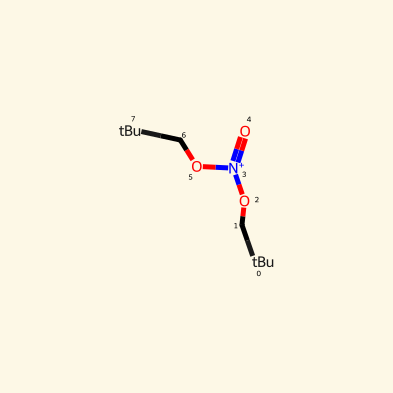 CC(C)(C)CO[N+](=O)OCC(C)(C)C